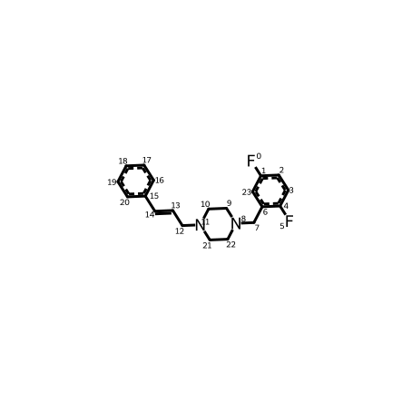 Fc1ccc(F)c(CN2CCN(CC=Cc3ccccc3)CC2)c1